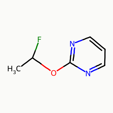 CC(F)Oc1ncccn1